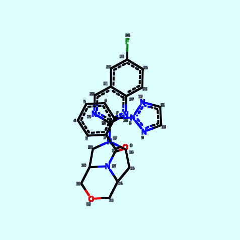 O=C(c1ccccc1-n1nccn1)N1C2CCN(c3ncc4cc(F)ccc4n3)CC1COC2